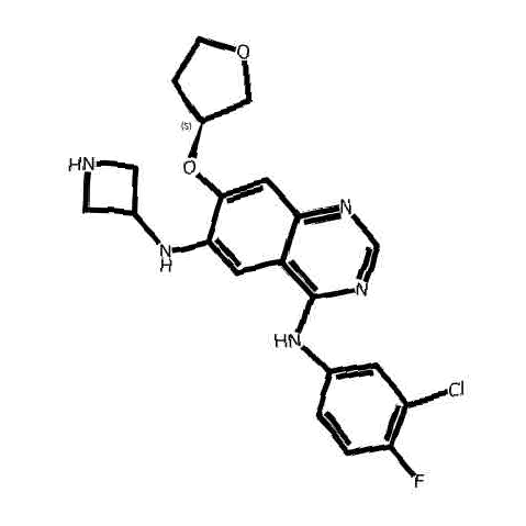 Fc1ccc(Nc2ncnc3cc(O[C@H]4CCOC4)c(NC4CNC4)cc23)cc1Cl